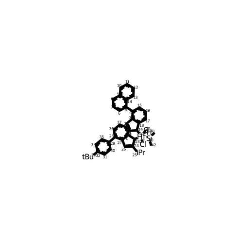 CC1=Cc2c(-c3cccc4ccccc34)cccc2[CH]1[Hf]([Cl])([Cl])([CH]1C(C(C)C)=Cc2c(-c3ccc(C(C)(C)C)cc3)cccc21)[SiH](C)C